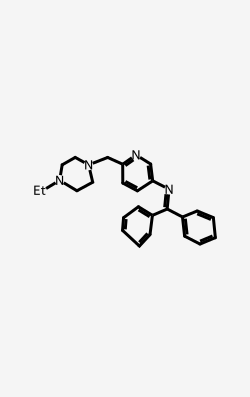 CCN1CCN(Cc2ccc(N=C(c3ccccc3)c3ccccc3)cn2)CC1